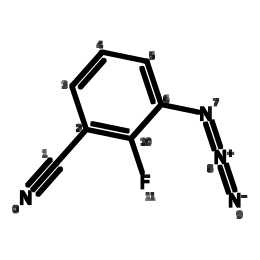 N#Cc1cccc(N=[N+]=[N-])c1F